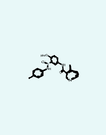 COc1ccc(NC(=O)c2cnccc2C)cc1[S+]([O-])Nc1ccc(C)cc1